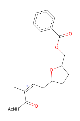 CC(=O)NC(=O)/C(C)=C\CC1CCC(COC(=O)c2ccccc2)O1